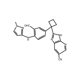 Cn1ccc(Nc2ccc(C3(c4nc5cc(C#N)cnc5[nH]4)CCC3)cc2C=O)n1